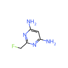 Nc1cc(N)nc(CF)n1